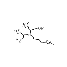 CCCC[C@@H](C(C)C)C(C)O